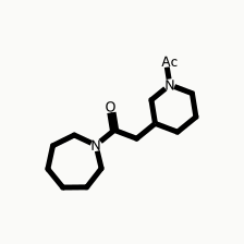 CC(=O)N1CCCC(CC(=O)N2CCCCCC2)C1